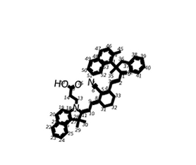 C=C(/C=C/C1=C(C#N)C(=C/C=C2\N(CCC(=O)O)c3ccc4ccccc4c3C2(C)C)/CCC1)C(C)(Cc1ccccc1)c1c(C)ccc2ccccc12